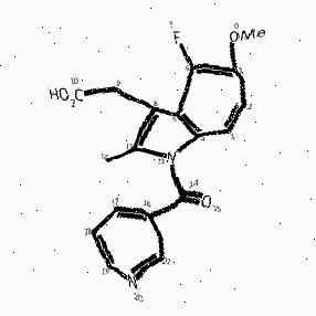 COc1ccc2c(c1F)c(CC(=O)O)c(C)n2C(=O)c1cccnc1